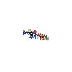 CC(C)n1cc(/C=C/C(=O)NS(=O)(=O)c2ccc(Cl)s2)c(=O)c2cc(F)c(NCC3CC3)cc21